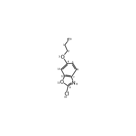 FCCOc1ccc2nc(Cl)oc2c1